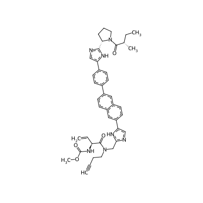 C#CCCN(Cc1ncc(-c2ccc3cc(-c4ccc(-c5cnc([C@@H]6CCCN6C(=O)[C@@H](C)CC)[nH]5)cc4)ccc3c2)[nH]1)C(=O)[C@H](C=C)NC(=O)OC